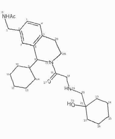 CC(=O)NCc1ccc2c(c1)C(C1CCCCC1)N(C(=O)CNCC1(O)CCCCC1)CC2